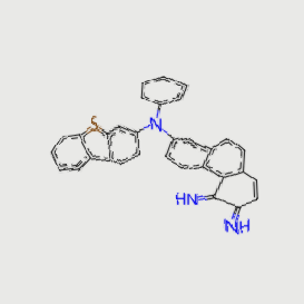 N=C1C=Cc2ccc3cc(N(c4ccccc4)c4ccc5c(c4)sc4ccccc45)ccc3c2C1=N